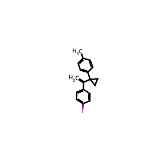 C=C(c1ccc(I)cc1)C1(c2ccc(C)cc2)CC1